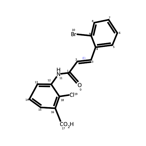 O=C(/C=C/c1ccccc1Br)Nc1cccc(C(=O)O)c1Cl